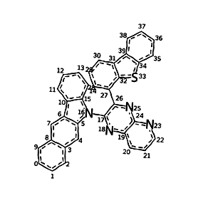 c1ccc2cc3c(cc2c1)c1ccccc1n3-c1nc2cccnc2nc1-c1cccc2c1sc1ccccc12